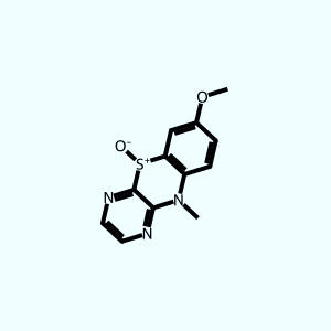 COc1ccc2c(c1)[S+]([O-])c1nccnc1N2C